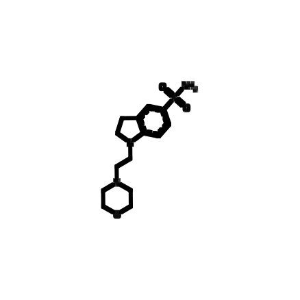 NS(=O)(=O)c1ccc2c(c1)CCN2CCN1CCOCC1